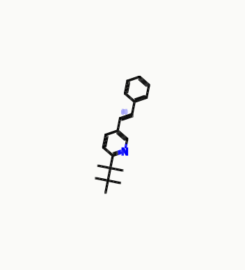 CC(C)(C)C(C)(C)c1ccc(/C=C/c2ccccc2)cn1